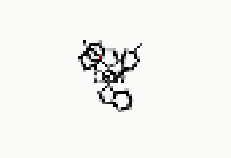 Cc1ccc([O][Zr]([O]c2ccc(C)cc2)([CH]2C=Cc3ccccc32)[CH]2C=Cc3ccccc32)cc1